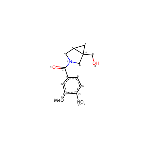 COc1cc(C(=O)N2CC3CC3(CO)C2)ccc1[N+](=O)[O-]